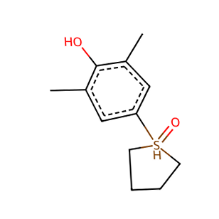 Cc1cc([SH]2(=O)CCCC2)cc(C)c1O